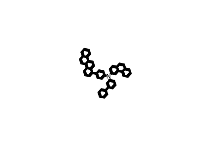 c1ccc(-c2cccc(N(c3ccc(-c4cccc5c4ccc4c6ccccc6ccc54)cc3)c3ccc4ccc5ccccc5c4c3)c2)cc1